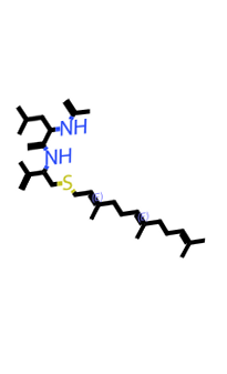 C=C(C)NC(CC(C)C)C(=C)NC(CSC/C=C(\C)CC/C=C(\C)CCC=C(C)C)C(=C)C